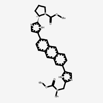 CCCN(Cc1ncc(-c2ccc3cc4cc(-c5cnc([C@@H]6CCCN6C(=O)OC(C)(C)C)[nH]5)ccc4cc3c2)[nH]1)C(=O)OC(C)(C)C